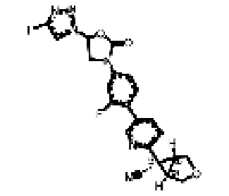 N#C[C@]1(c2ccc(-c3ccc(N4CC(n5cc(F)nn5)OC4=O)cc3F)cn2)[C@@H]2COC[C@@H]21